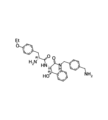 CCOc1ccc(C[C@@H](N)C(=O)N[C@H](C(=O)NCc2ccc(CN)cc2)[C@H](O)c2ccccc2)cc1